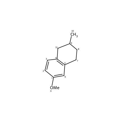 COc1ccc2c(c1)CCC(C)C2